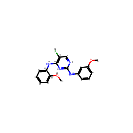 COc1cccc(Nc2ncc(F)c(Nc3ccccc3OC)n2)c1